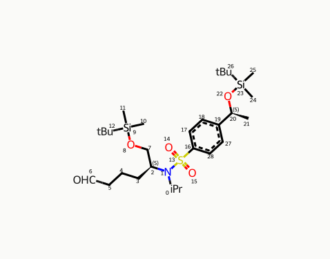 CC(C)N([C@@H](CCCC=O)CO[Si](C)(C)C(C)(C)C)S(=O)(=O)c1ccc([C@H](C)O[Si](C)(C)C(C)(C)C)cc1